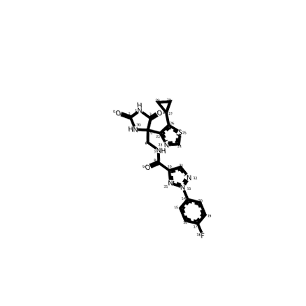 O=C1NC(=O)C(CNC(=O)c2cnn(-c3ccc(F)cc3)n2)(c2ncsc2C2CC2)N1